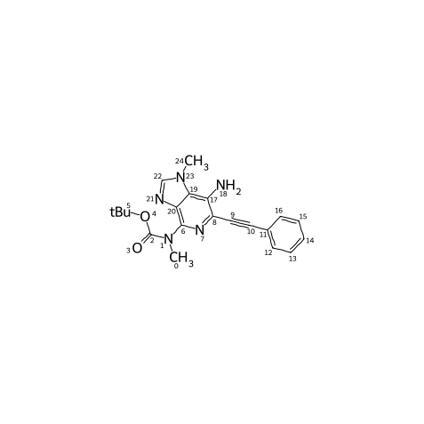 CN(C(=O)OC(C)(C)C)c1nc(C#Cc2ccccc2)c(N)c2c1ncn2C